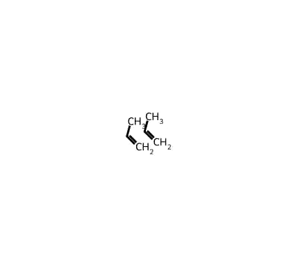 C=CC.C=CC